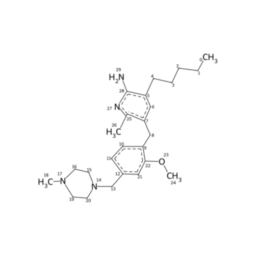 CCCCCc1cc(Cc2ccc(CN3CCN(C)CC3)cc2OC)c(C)nc1N